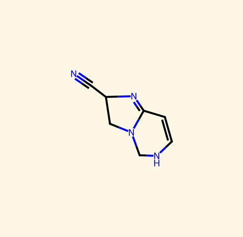 N#CC1CN2CNC=CC2=N1